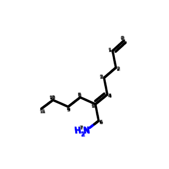 C=CCC/C=C(/CN)CCCC